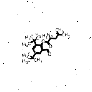 CC(C)C[C@@H](N)C(=O)Oc1c(C=O)cc(C(C)(C)C)cc1C(C)(C)C